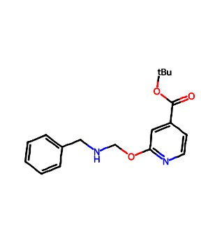 CC(C)(C)OC(=O)c1ccnc(OCNCc2ccccc2)c1